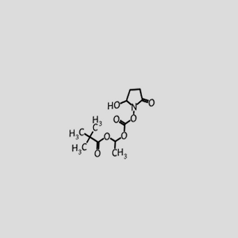 CC(OC(=O)ON1C(=O)CCC1O)OC(=O)C(C)(C)C